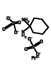 NC1(N)CCCCC1.O=S(=O)([O-])[O-].O=S(=O)([O-])[O-].[Pt+4]